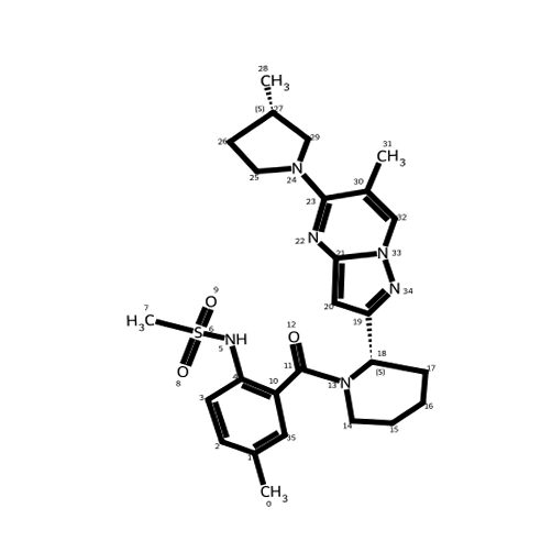 Cc1ccc(NS(C)(=O)=O)c(C(=O)N2CCCC[C@H]2c2cc3nc(N4CC[C@H](C)C4)c(C)cn3n2)c1